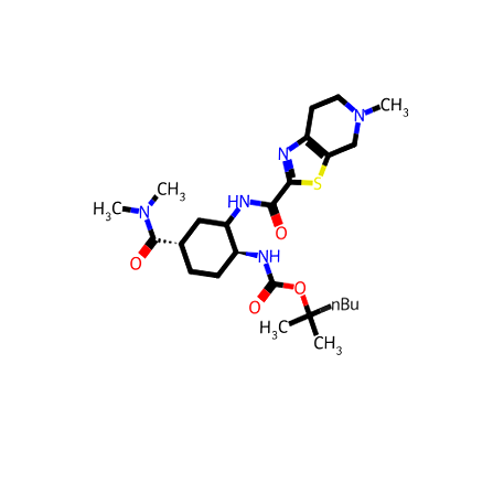 CCCCC(C)(C)OC(=O)N[C@H]1CC[C@H](C(=O)N(C)C)CC1NC(=O)c1nc2c(s1)CN(C)CC2